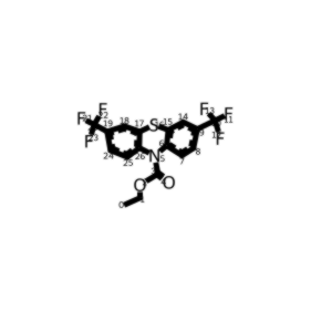 CCOC(=O)N1c2ccc(C(F)(F)F)cc2Sc2cc(C(F)(F)F)ccc21